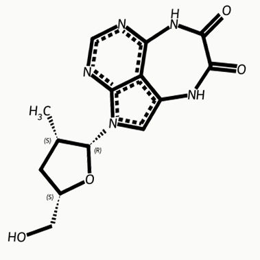 C[C@H]1C[C@@H](CO)O[C@H]1n1cc2c3c(ncnc31)NC(=O)C(=O)N2